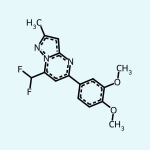 COc1ccc(-c2cc(C(F)F)n3nc(C)cc3n2)cc1OC